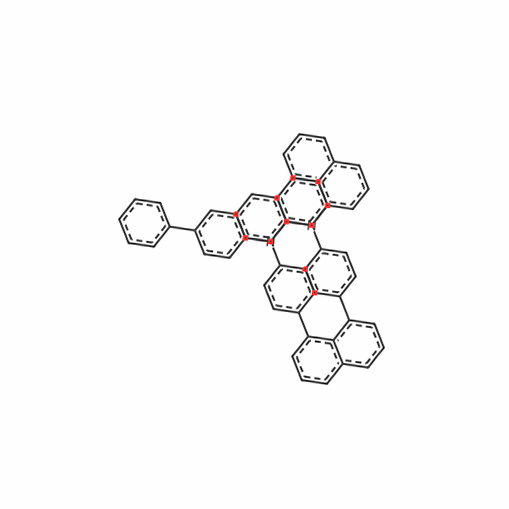 c1ccc(-c2ccc(N(c3ccccc3)c3ccc(-c4cccc5cccc(-c6ccc(N(c7ccccc7)c7cccc8ccccc78)cc6)c45)cc3)cc2)cc1